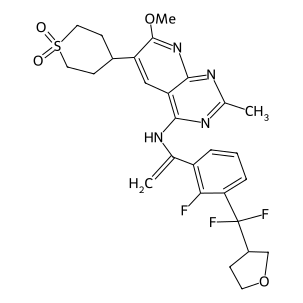 C=C(Nc1nc(C)nc2nc(OC)c(C3CCS(=O)(=O)CC3)cc12)c1cccc(C(F)(F)C2CCOC2)c1F